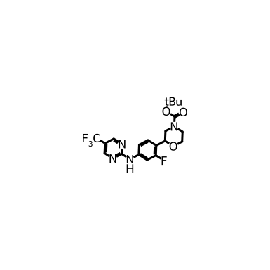 CC(C)(C)OC(=O)N1CCOC(c2ccc(Nc3ncc(C(F)(F)F)cn3)cc2F)C1